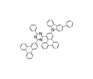 c1ccc(-c2ccc3c(c2)c2ccccc2n3-c2cc(-c3nc(-c4ccccc4)nc(-c4ccc5c6ccccc6c6ccccc6c5c4)n3)c3c4ccccc4c4ccccc4c3c2)cc1